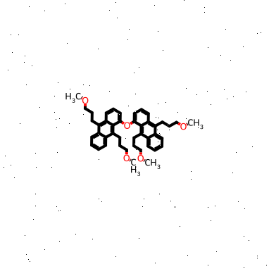 COCCCc1c2ccccc2c(CCCOC)c2c(Oc3cccc4c(CCCOC)c5ccccc5c(CCCOC)c34)cccc12